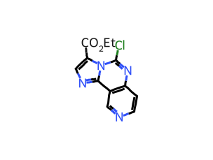 CCOC(=O)c1cnc2c3cnccc3nc(Cl)n12